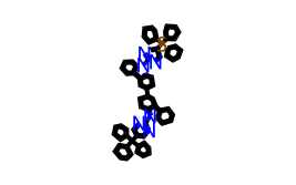 c1ccc(C(c2ccccc2)(c2ccccc2)c2cnc(-n3c4ccccc4c4cc(-c5ccc6c(c5)c5ccccc5n6-c5ncc(S(c6ccccc6)(c6ccccc6)c6ccccc6)cn5)ccc43)nc2)cc1